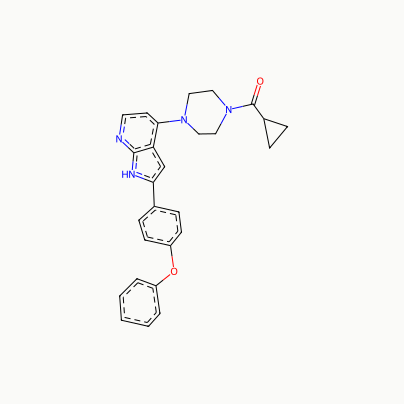 O=C(C1CC1)N1CCN(c2ccnc3[nH]c(-c4ccc(Oc5ccccc5)cc4)cc23)CC1